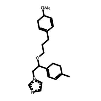 COC1C=CC(CCCOC(Cn2ccnc2)C2=CC=C(C)CC2)=CC1